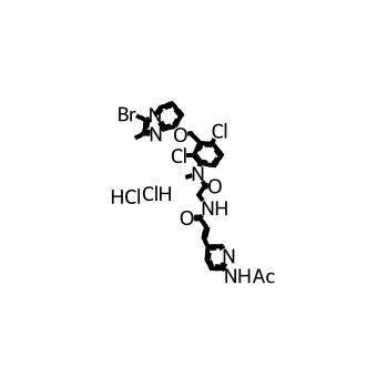 CC(=O)Nc1ccc(/C=C/C(=O)NCC(=O)N(C)c2ccc(Cl)c(COc3cccn4c(Br)c(C)nc34)c2Cl)cn1.Cl.Cl